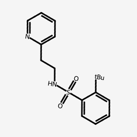 CC(C)(C)c1ccccc1S(=O)(=O)NCCc1ccccn1